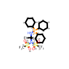 CCC(CC)(N[PH](C1CCCCC1)(C1CCCCC1)C1CCCCC1)N(S(=O)(=O)C(F)(F)F)S(=O)(=O)C(F)(F)F